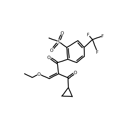 CCO/C=C(\C(=O)c1ccc(C(F)(F)F)cc1S(C)(=O)=O)C(=O)C1CC1